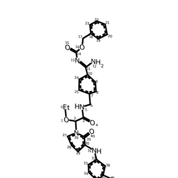 CCOC(C(=O)NCc1ccc(C(N)=NC(=O)OCc2ccccc2)cc1)n1cccc(Nc2cccc(F)c2)c1=O